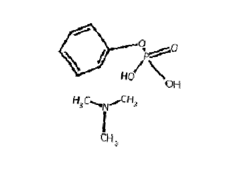 CN(C)C.O=P(O)(O)Oc1ccccc1